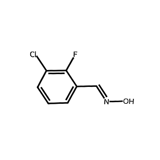 ON=Cc1cccc(Cl)c1F